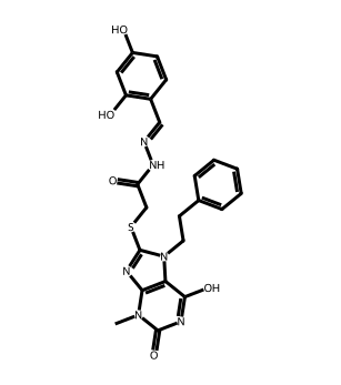 Cn1c(=O)nc(O)c2c1nc(SCC(=O)N/N=C/c1ccc(O)cc1O)n2CCc1ccccc1